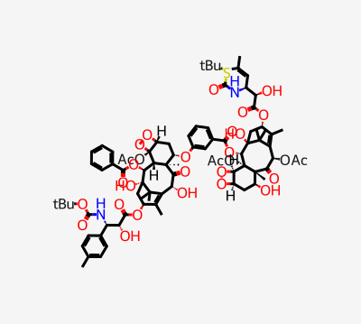 CC(=O)O[C@H]1C(=O)[C@@]2(C)[C@H]([C@H](OC(=O)c3cccc(O[C@H]4C[C@H]5OO[C@@]5(OC(C)=O)[C@H]5[C@H](OC(=O)c6ccccc6)[C@]6(O)C[C@H](OC(=O)[C@H](O)[C@@H](NC(=O)OC(C)(C)C)c7ccc(C)cc7)C(C)=C([C@@H](O)C(=O)[C@]45C)C6(C)C)c3)[C@]3(O)C[C@H](OC(=O)[C@H](O)[C@H](C=C(C)C)NC(=O)SC(C)(C)C)C(C)=C1C3(C)C)[C@]1(OC(C)=O)OO[C@@H]1C[C@@H]2O